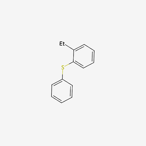 CCc1ccccc1Sc1ccccc1